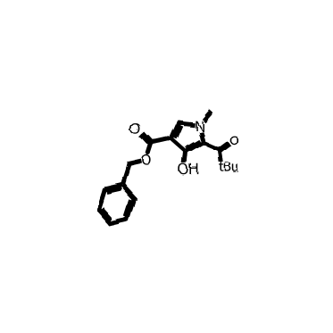 Cn1cc(C(=O)OCc2ccccc2)c(O)c1C(=O)C(C)(C)C